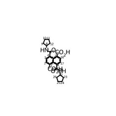 O=C(O)c1ccc(C(=O)NC2CCCC2)c2c(C(=O)O)ccc(C(=O)BC3CCCC3)c12